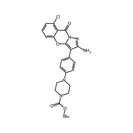 CC(C)(C)OC(=O)N1CCN(c2ccc(-c3c(N)nn4c(=O)c5c(Cl)cccc5oc34)cc2)CC1